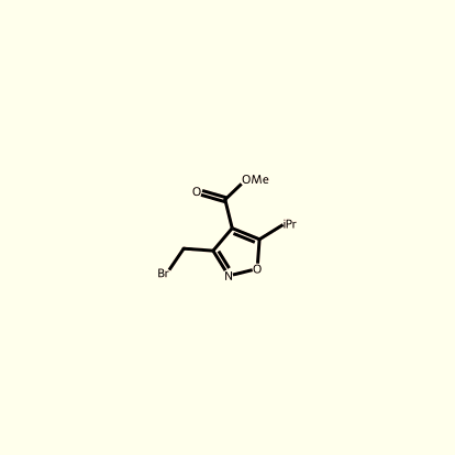 COC(=O)c1c(CBr)noc1C(C)C